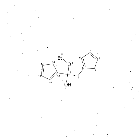 CCOC(O)(CC1=CC=CC1)C1=CC=CC1